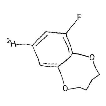 [2H]c1cc(F)c2c(c1)OCCO2